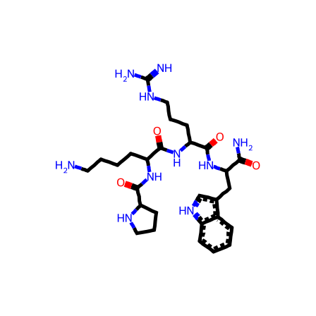 N=C(N)NCCCC(NC(=O)C(CCCCN)NC(=O)C1CCCN1)C(=O)NC(Cc1c[nH]c2ccccc12)C(N)=O